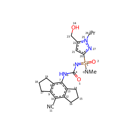 CNS(=O)(=NC(=O)Nc1c2c(c(C#N)c3c1CCC3)CCC2)c1cc(CO)n(C(C)C)n1